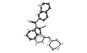 Cc1c(C(=O)c2ccc3cccnc3c2)c2cccc3c2n1C(CN1CCOCC1)CO3